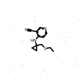 CCSCC1(Nc2ccncc2C#N)CC1